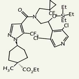 CCOC(=O)[C@]1(C)CC[C@@H](n2ncc(C(=O)N(CC(O[Si](CC)(CC)CC)c3c(Cl)cncc3Cl)CC3(C(F)(F)F)CC3)c2C(F)(F)F)CC1